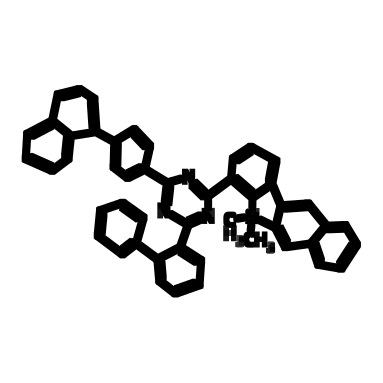 C[Si]1(C)c2cc3ccccc3cc2-c2cccc(-c3nc(-c4ccc(-c5cccc6ccccc56)cc4)nc(-c4ccccc4-c4ccccc4)n3)c21